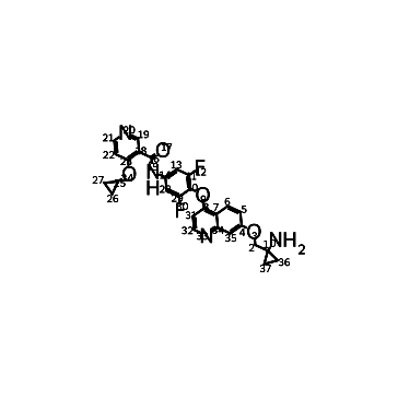 NC1(COc2ccc3c(Oc4c(F)cc(NC(=O)c5cnccc5OC5CC5)cc4F)ccnc3c2)CC1